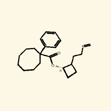 C=NCCC1CC[C@@H]1OC(=O)C1(c2ccccc2)CCCCCCC1